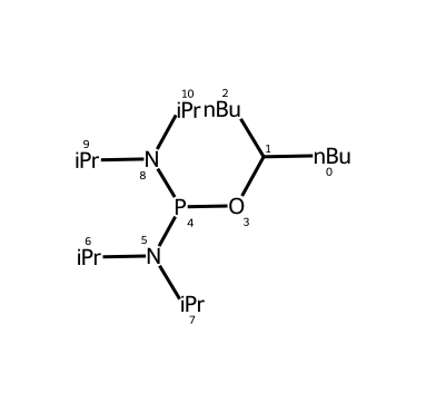 CCCCC(CCCC)OP(N(C(C)C)C(C)C)N(C(C)C)C(C)C